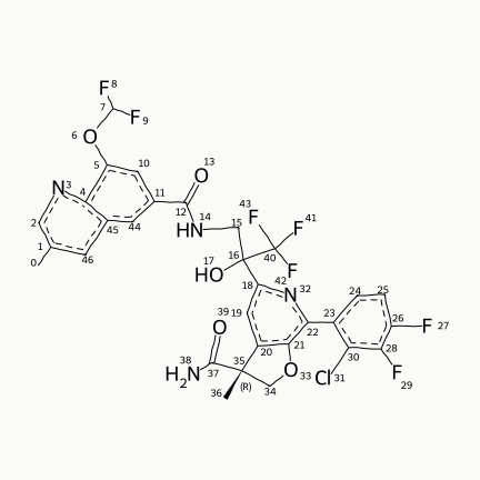 Cc1cnc2c(OC(F)F)cc(C(=O)NCC(O)(c3cc4c(c(-c5ccc(F)c(F)c5Cl)n3)OC[C@]4(C)C(N)=O)C(F)(F)F)cc2c1